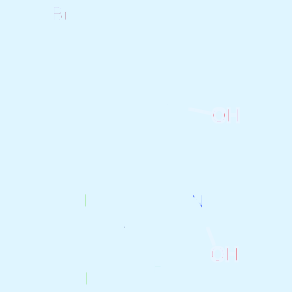 ON=C(c1ccc(Br)cc1O)C(F)(F)F